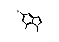 Cn1cnc2cc(Br)cc(F)c21